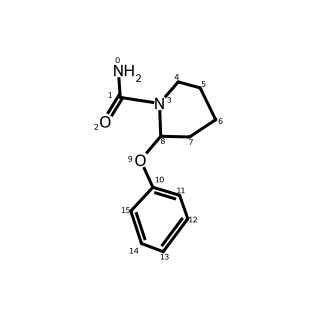 NC(=O)N1CCCCC1Oc1ccccc1